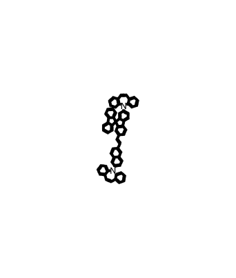 C1=CC2=C(CC1)N(c1ccc3c(c1)C1(c4ccccc4-c4ccccc41)c1cc(/C=C/c4ccc5cc(N6c7ccccc7C=Cc7ccccc76)ccc5c4)ccc1-3)c1ccccc1C=C2